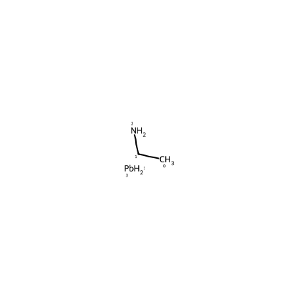 CCN.[PbH2]